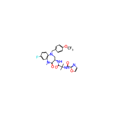 CN1C(=O)[C@H](NC(=O)C(C)(C)NC(=O)c2ncco2)CN(Cc2ccc(OC(F)(F)F)cc2)c2ccc(F)cc21